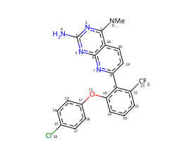 CNc1nc(N)nc2nc(-c3c(Oc4ccc(Cl)cc4)cccc3C(F)(F)F)ccc12